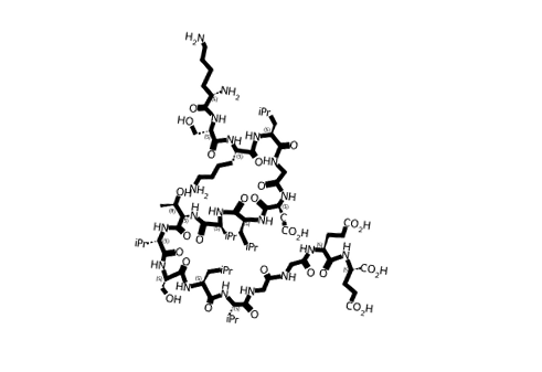 CC(C)C[C@H](NC(=O)[C@H](CCCCN)NC(=O)[C@H](CO)NC(=O)[C@@H](N)CCCCN)C(=O)NCC(=O)N[C@@H](CC(=O)O)C(=O)N[C@@H](CC(C)C)C(=O)N[C@H](C(=O)N[C@H](C(=O)N[C@H](C(=O)N[C@@H](CO)C(=O)N[C@@H](CC(C)C)C(=O)N[C@H](C(=O)NCC(=O)NCC(=O)N[C@@H](CCC(=O)O)C(=O)N[C@@H](CCC(=O)O)C(=O)O)C(C)C)C(C)C)[C@@H](C)O)C(C)C